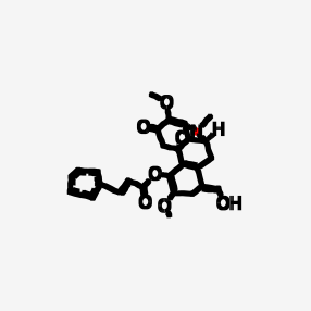 COC1=C[C@H]2[C@H]3CC4=C(C(OC(=O)C=Cc5ccccc5)=C(OC)CC4=CO)[C@@]2(CCN3C)CC1=O